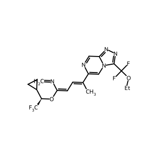 C=N/C(=C\C=C(/C)c1cn2c(C(F)(F)OCC)nnc2cn1)O[C@H](C1CC1)C(F)(F)F